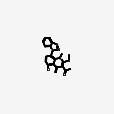 C=C1C(C(C)=O)=C(SC)N(C)c2c(-n3nnc4ccccc43)ccc(Cl)c21